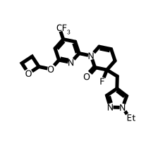 CCn1cc(CC2(F)CC=CN(c3cc(C(F)(F)F)cc(OC4CCO4)n3)C2=O)cn1